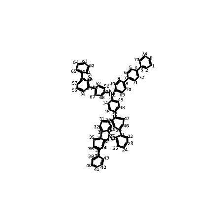 c1ccc(-c2ccc(-c3ccc(N(c4ccc(-c5ccc(-c6ccccc6-n6c7ccccc7c7ccc(-c8ccccc8)cc76)cc5)cc4)c4ccc(-c5cccc6c5sc5ccccc56)cc4)cc3)cc2)cc1